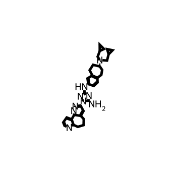 Nc1nc(Nc2ccc3c(c2)CC[C@@H](N(CC2CC2)CC2CC2)CC3)nn1-c1cc2c(nn1)-c1cccnc1CCC2